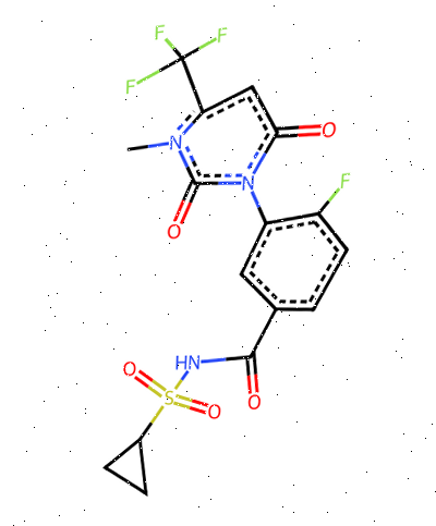 Cn1c(C(F)(F)F)cc(=O)n(-c2cc(C(=O)NS(=O)(=O)C3CC3)ccc2F)c1=O